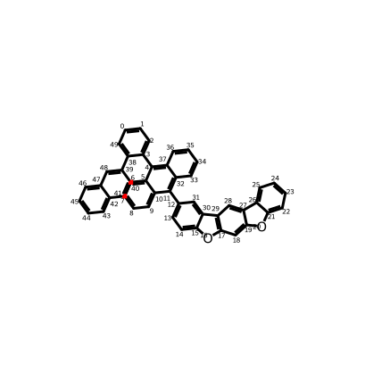 c1ccc(-c2c3ccccc3c(-c3ccc4oc5cc6oc7ccccc7c6cc5c4c3)c3ccccc23)c(-c2ccc3ccccc3c2)c1